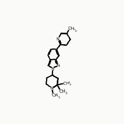 CC1CCC(c2ccc3cn(C4CCN(C)C(C)(C)C4)nc3c2)=NC1